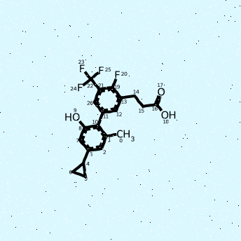 Cc1cc(C2CC2)cc(O)c1-c1cc(CCC(=O)O)c(F)c(C(F)(F)F)c1